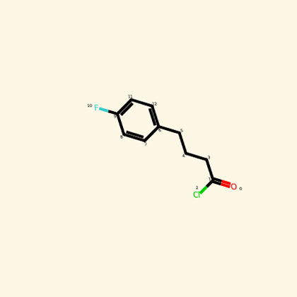 O=C(Cl)CCCc1ccc(F)cc1